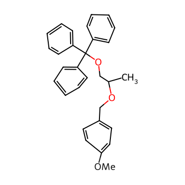 COc1ccc(COC(C)COC(c2ccccc2)(c2ccccc2)c2ccccc2)cc1